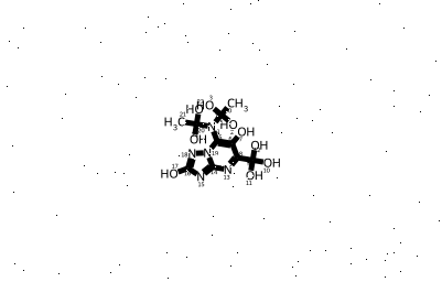 CC(O)(O)N(c1c(O)c(C(O)(O)O)nc2nc(O)nn12)C(C)(O)O